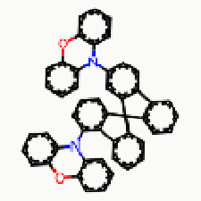 c1ccc2c(c1)Oc1ccccc1N2c1ccc2c(c1)C1(c3ccccc3-2)c2ccccc2-c2c(N3c4ccccc4Oc4ccccc43)cccc21